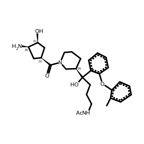 CC(=O)NCCCC(O)(c1ccccc1Oc1ccccc1C)[C@@H]1CCCN(C(=O)[C@H]2C[C@@H](N)[C@@H](O)C2)C1